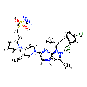 Cc1nn([C@H](C)c2ccc(Cl)cc2Cl)c2nc(N3CC[C@@H](N4CCCC4CCS(N)(=O)=O)[C@@H](C)C3)cnc12